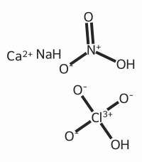 O=[N+]([O-])O.[Ca+2].[NaH].[O-][Cl+3]([O-])([O-])O